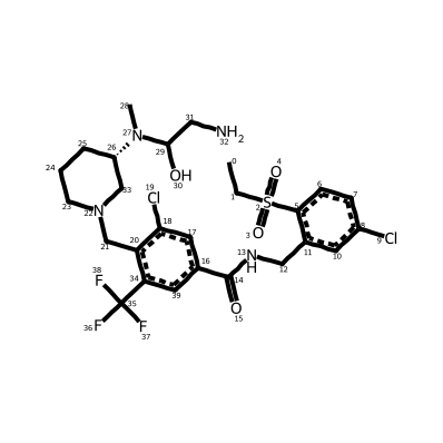 CCS(=O)(=O)c1ccc(Cl)cc1CNC(=O)c1cc(Cl)c(CN2CCC[C@H](N(C)C(O)CN)C2)c(C(F)(F)F)c1